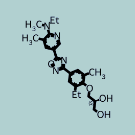 CCc1cc(-c2noc(-c3cnc(N(C)CC)c(C)c3)n2)cc(C)c1OC[C@@H](O)CO